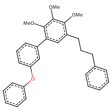 COc1c(CCCc2ccccc2)[c]c(-c2cccc(Oc3ccccc3)c2)c(OC)c1OC